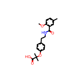 COc1ccc(C)cc1C(=O)NCCc1ccc(OC(C)(C)C(=O)O)cc1